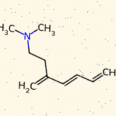 C=CC=CC(=C)CCN(C)C